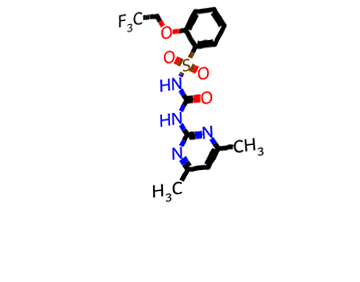 Cc1cc(C)nc(NC(=O)NS(=O)(=O)c2ccccc2OCC(F)(F)F)n1